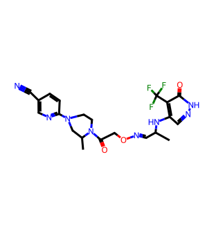 CC(/C=N/OCC(=O)N1CCN(c2ccc(C#N)cn2)CC1C)Nc1cn[nH]c(=O)c1C(F)(F)F